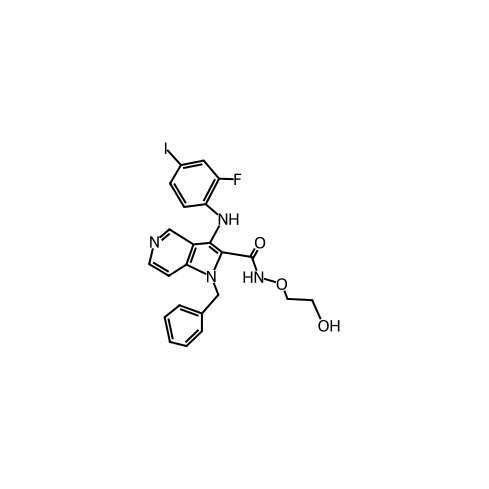 O=C(NOCCO)c1c(Nc2ccc(I)cc2F)c2cnccc2n1Cc1ccccc1